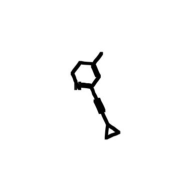 CC1=CC(C#CC2CC2)=NCC1